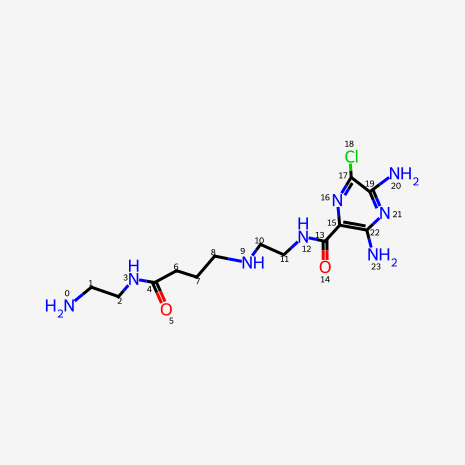 NCCNC(=O)CCCNCCNC(=O)c1nc(Cl)c(N)nc1N